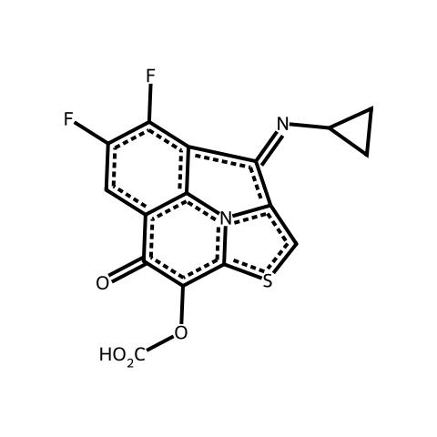 O=C(O)Oc1c(=O)c2cc(F)c(F)c3c(=NC4CC4)c4csc1n4c23